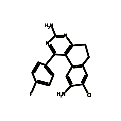 Nc1nc2c(c(-c3ccc(F)cc3)n1)-c1cc(N)c(Cl)cc1CC2